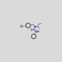 CCC(C)N(Cc1ccc(Br)cc1)C(=S)Nc1ccccc1